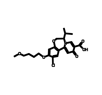 COCCCCOc1cc2c(cc1Cl)-c1cc(=O)c(C(=O)O)cn1C(C(C)C)CO2